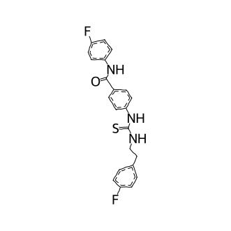 O=C(Nc1ccc(F)cc1)c1ccc(NC(=S)NCCc2ccc(F)cc2)cc1